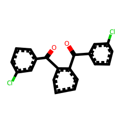 O=C(c1cccc(Cl)c1)c1ccccc1C(=O)c1cccc(Cl)c1